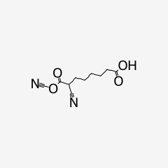 N#COC(=O)C(C#N)CCCCCC(=O)O